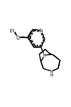 CCOc1cncc(N2C3CCNCC2CC3)c1